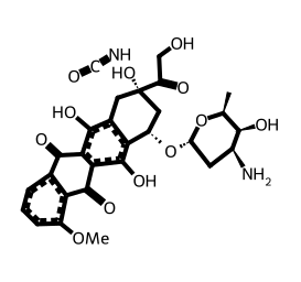 COc1cccc2c1C(=O)c1c(O)c3c(c(O)c1C2=O)C[C@@](O)(C(=O)CO)C[C@@H]3O[C@H]1C[C@H](N)[C@H](O)[C@H](C)O1.N=C=O